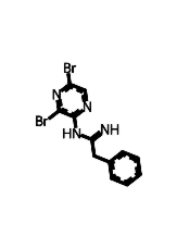 N=C(Cc1ccccc1)Nc1ncc(Br)nc1Br